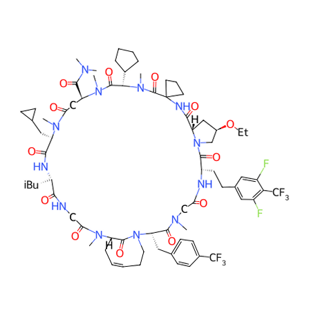 CCO[C@@H]1C[C@H]2C(=O)NC3(CCC3)C(=O)N(C)[C@@H](C3CCCC3)C(=O)N(C)[C@H](C(=O)N(C)C)CC(=O)N(C)[C@@H](CC3CC3)C(=O)N[C@@H]([C@@H](C)CC)C(=O)NCC(=O)N(C)[C@H]3C/C=C\CCN(C3=O)[C@@H](Cc3ccc(C(F)(F)F)cc3)C(=O)N(C)CC(=O)N[C@@H](CCc3cc(F)c(C(F)(F)F)c(F)c3)C(=O)N2C1